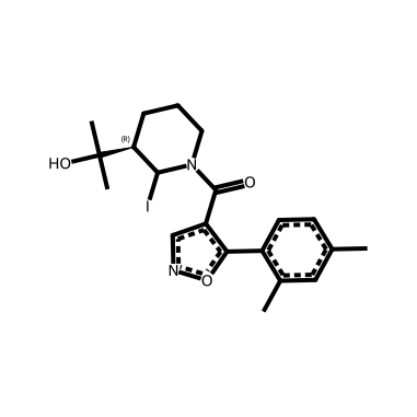 Cc1ccc(-c2oncc2C(=O)N2CCC[C@H](C(C)(C)O)C2I)c(C)c1